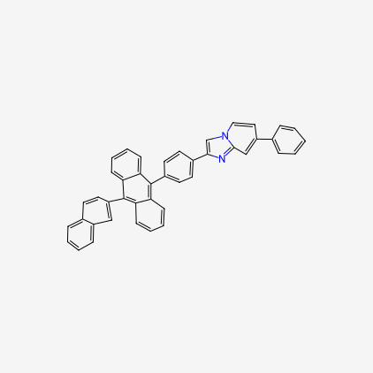 c1ccc(-c2ccn3cc(-c4ccc(-c5c6ccccc6c(-c6ccc7ccccc7c6)c6ccccc56)cc4)nc3c2)cc1